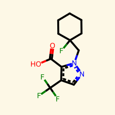 O=C(O)c1c(C(F)(F)F)cnn1CC1(F)CCCCC1